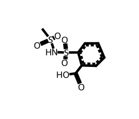 CS(=O)(=O)NS(=O)(=O)c1ccccc1C(=O)O